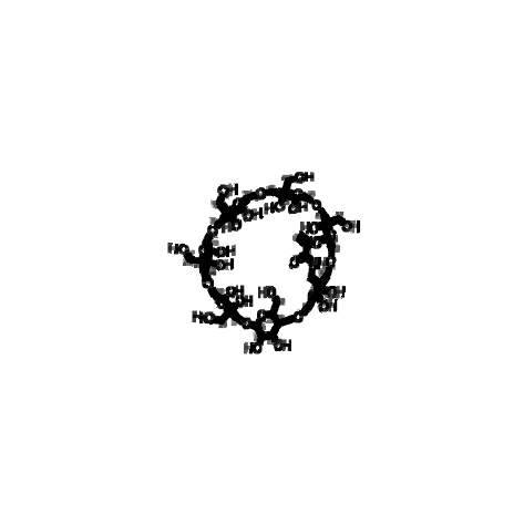 C=CC(=O)NCC1OC2OC3C(CO)OC(OC4C(CO)OC(OC5C(CO)OC(OC6C(CO)OC(OC7C(CO)OC(OC8C(CO)OC(OC1C(O)C2O)C(O)C8O)C(O)C7O)C(O)C6O)C(O)C5O)C(O)C4O)C(O)C3O